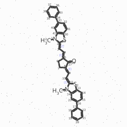 CN1/C(=C/C=C2\CC/C(=C\C=C3/Sc4ccc(-c5ccccc5)cc4N3C)C2=O)Sc2ccc(-c3ccccc3)cc21